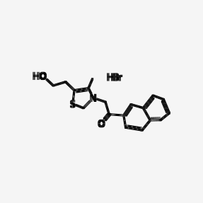 Br.CC1=C(CCO)SCN1CC(=O)c1ccc2ccccc2c1